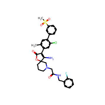 Cc1cc(-c2cccc(S(C)(=O)=O)c2)c(Cl)cc1C1=C(N)C2(CCCN(CC(=O)NCc3ccccc3F)C2)OC1=O